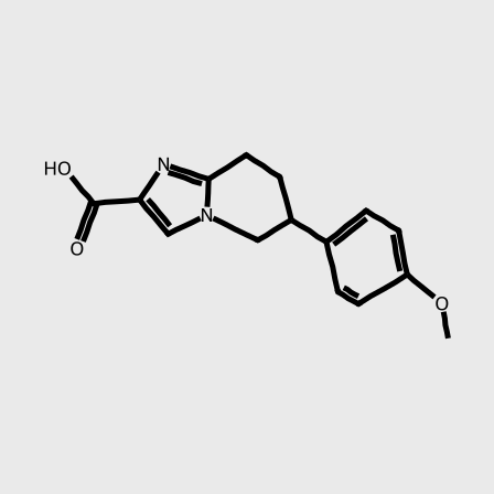 COc1ccc(C2CCc3nc(C(=O)O)cn3C2)cc1